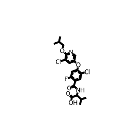 CC(C)COc1ncc(Oc2cc(F)c(C(=O)NC(C(=O)O)C(C)C)cc2Cl)cc1Cl